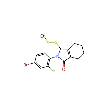 CCSSC1C2=C(CCCC2)C(=O)N1c1ccc(Br)cc1F